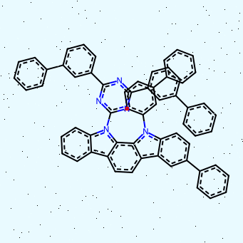 c1ccc(-c2cccc(-c3nc(-c4cccc(-c5ccccc5)c4)nc(-n4c5ccccc5c5ccc6c7cc(-c8ccccc8)ccc7n(-c7cccc(-c8ccccc8)c7)c6c54)n3)c2)cc1